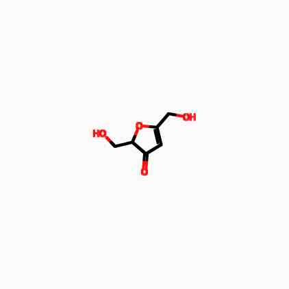 O=C1C=C(CO)OC1CO